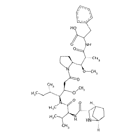 CC[C@H](C)[C@@H]([C@@H](CC(=O)N1CCC[C@H]1[C@H](OC)[C@@H](C)C(=O)NC(Cc1ccccc1)C(=O)O)OC)N(C)C(=O)[C@@H](NC(=O)[C@H]1N[C@@H]2CC[C@H]1C2)C(C)C